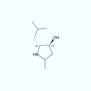 CC(C)C[C@H]1NC(C)C[C@@H]1O